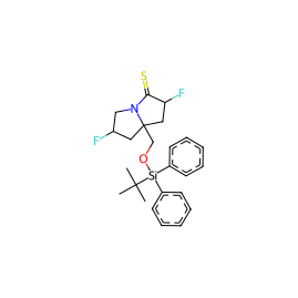 CC(C)(C)[Si](OCC12CC(F)CN1C(=S)C(F)C2)(c1ccccc1)c1ccccc1